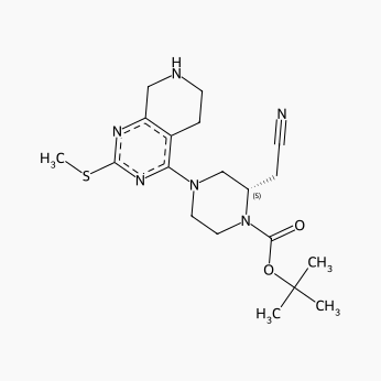 CSc1nc2c(c(N3CCN(C(=O)OC(C)(C)C)[C@@H](CC#N)C3)n1)CCNC2